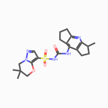 CC1CCc2c1nc1c(c2NC(=O)NS(=O)(=O)c2cnn3c2OCC(C)(C)C3)CCC1